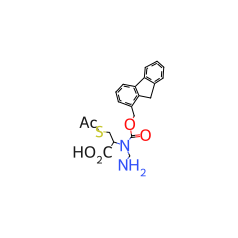 CC(=O)SCC(C(=O)O)N(CN)C(=O)OCc1cccc2c1Cc1ccccc1-2